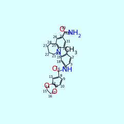 Cc1ccc(NC(=O)c2ccc3c(c2)OCCO3)cc1N1CCCCc2cc(C(N)=O)ccc21